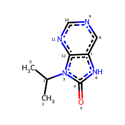 CC(C)n1c(=O)[nH]c2cncnc21